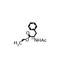 C=COC(=O)[C@H](Cc1ccccc1)NC(C)=O